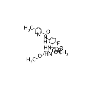 CCOCCC(=N)N[C@@](C)(CS(C)(=O)=O)c1cc(NC(=O)c2ccc(C)cn2)ccc1F